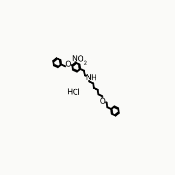 Cl.O=[N+]([O-])c1cc(CCNCCCCCCOCCc2ccccc2)ccc1OCc1ccccc1